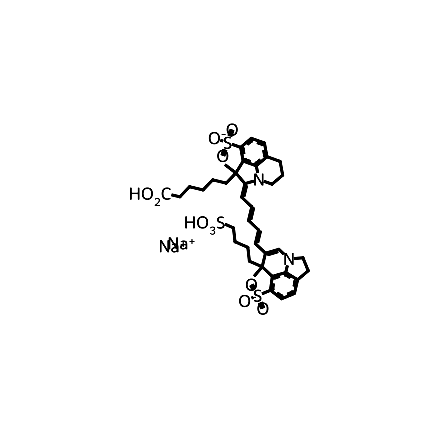 CC1(CCCCS(=O)(=O)O)C(/C=C/C=C/C=C2\N3CCCc4ccc(S(=O)(=O)[O-])c(c43)C2(C)CCCCCC(=O)O)=CN2CCc3ccc(S(=O)(=O)[O-])c1c32.[Na+].[Na+]